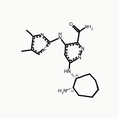 Cc1ccc(Nc2cc(N[C@@H]3CCCCC[C@@H]3N)nnc2C(N)=O)nc1C